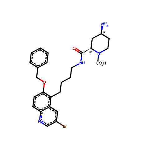 N[C@H]1CCN(C(=O)O)[C@H](C(=O)NCCCCc2c(OCc3ccccc3)ccc3ncc(Br)cc23)C1